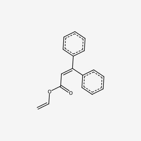 C=COC(=O)C=C(c1ccccc1)c1ccccc1